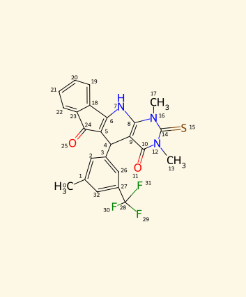 Cc1cc(C2C3=C(Nc4c2c(=O)n(C)c(=S)n4C)c2ccccc2C3=O)cc(C(F)(F)F)c1